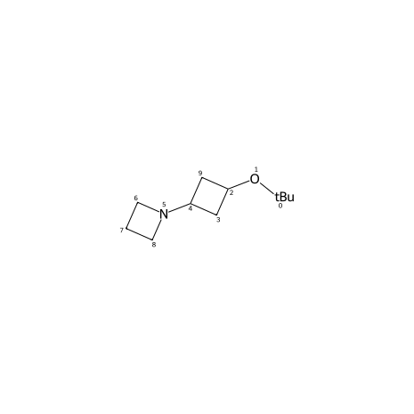 CC(C)(C)OC1CC(N2CCC2)C1